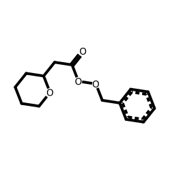 O=C(CC1CCCCO1)OOCc1ccccc1